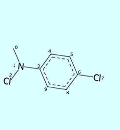 CN(Cl)c1ccc(Cl)cc1